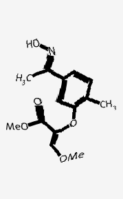 CO/C=C(\Oc1cc(/C(C)=N/O)ccc1C)C(=O)OC